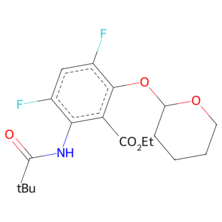 CCOC(=O)c1c(NC(=O)C(C)(C)C)c(F)cc(F)c1OC1CCCCO1